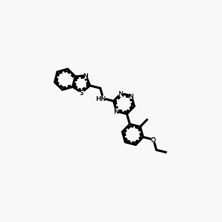 CCOc1cccc(-c2cnnc(NCc3nc4ccccc4s3)n2)c1C